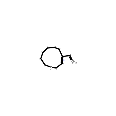 C=C/C1=C/CCCCCCCC1